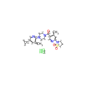 Cc1cc(N2CCCS2(=O)=O)ncc1C(=O)N1CCN(c2ncc(C3CC3)cc2C)CC1.Cl.Cl